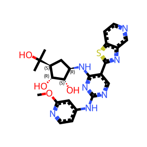 COc1cc(Nc2ncc(-c3nc4cnccc4s3)c(N[C@@H]3C[C@H](C(C)(C)O)[C@@H](O)[C@H]3O)n2)ccn1